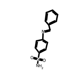 NS(=O)(=O)c1ccc(N=Cc2ccccc2)cc1